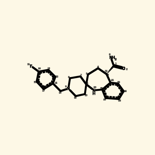 NC(=O)[C@H]1CCC2(CCN(Cc3ccc(F)cc3)CC2)Nc2ccccc21